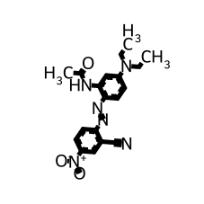 CCN(CC)c1ccc(N=Nc2ccc([N+](=O)[O-])cc2C#N)c(NC(C)=O)c1